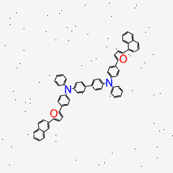 c1ccc(N(c2ccc(-c3ccc(N(c4ccccc4)c4ccc(-c5ccc(-c6cccc7ccccc67)o5)cc4)cc3)cc2)c2ccc(-c3ccc(-c4ccc5ccccc5c4)o3)cc2)cc1